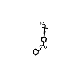 CC(C)(C#Cc1ccc(C(=O)OCc2ccccc2)cc1)CO